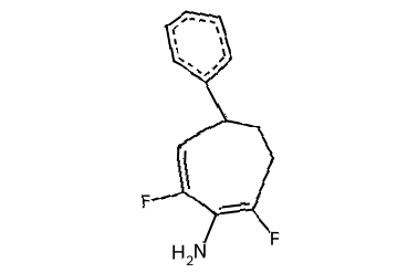 NC1=C(F)CCC(c2ccccc2)C=C1F